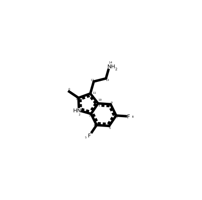 Cc1[nH]c2c(F)cc(F)cc2c1CCN